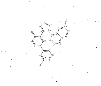 O=c1ccn(-c2cncc(F)c2)nc1-c1ccnn1-c1ccnc2ccc(F)cc12